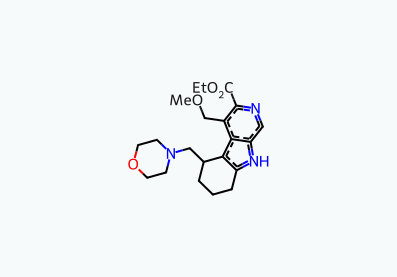 CCOC(=O)c1ncc2[nH]c3c(c2c1COC)C(CN1CCOCC1)CCC3